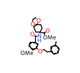 COC(=O)C1(NC(=O)c2ccc(OC)c(OCCc3cccc(C)c3)c2)CCC2(CC1)OCCO2